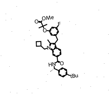 COC(=O)C(C)(C)Oc1cc(F)cc(Cc2c(C)n(CC3CCC3)c3cc(C(=O)N[C@@H](C)c4ccc(C(C)(C)C)cc4)ccc23)c1